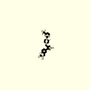 C[C@@H]1CN(Cc2c[nH]nc2-c2ccc3c(c2)CNC(=O)O3)CCN1c1nccc(C(F)(F)F)n1